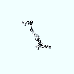 C=COC(=O)CCCCCOc1ccc(-c2ccc3cc(SC(=O)c4ccc(OC(=O)C(=C)COC)cc4)ccc3c2)cc1